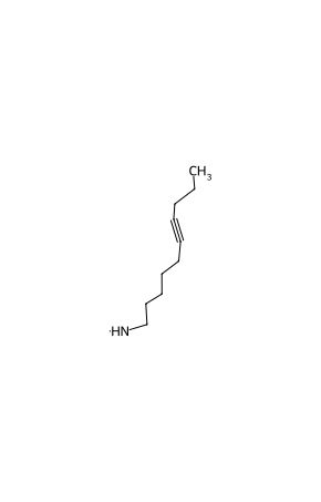 CCCC#CCCCCC[NH]